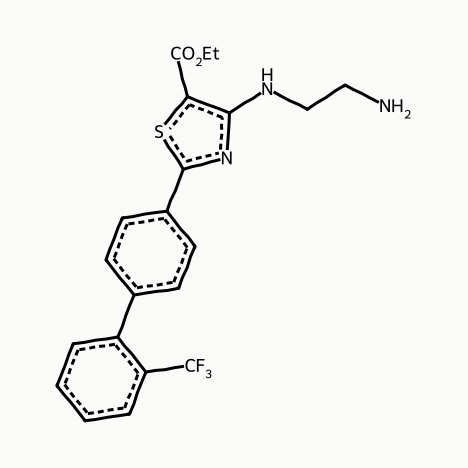 CCOC(=O)c1sc(-c2ccc(-c3ccccc3C(F)(F)F)cc2)nc1NCCN